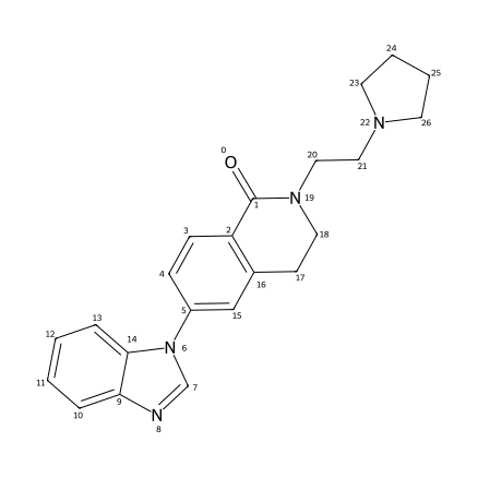 O=C1c2ccc(-n3cnc4ccccc43)cc2CCN1CCN1CCCC1